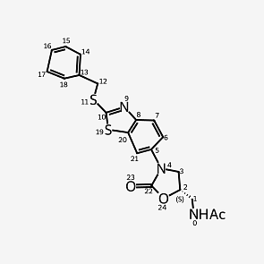 CC(=O)NC[C@H]1CN(c2ccc3nc(SCc4ccccc4)sc3c2)C(=O)O1